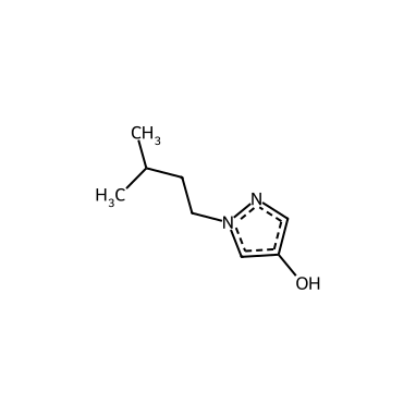 CC(C)CCn1cc(O)cn1